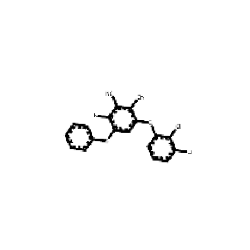 N#Cc1c(Oc2cccc(Cl)c2Cl)cc(Sc2ccccc2)c(F)c1C#N